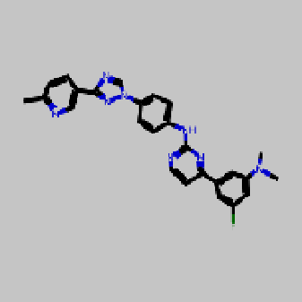 Cc1ccc(-c2ncn(-c3ccc(Nc4nccc(-c5cc(F)cc(N(C)C)c5)n4)cc3)n2)cn1